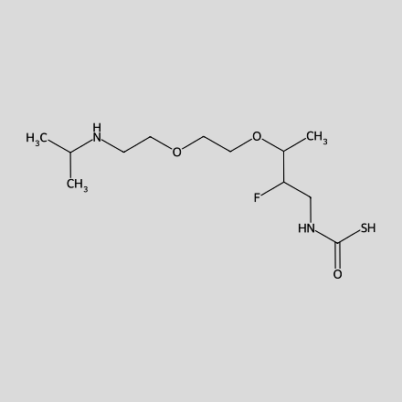 CC(C)NCCOCCOC(C)C(F)CNC(=O)S